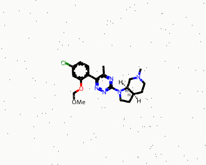 COCOc1cc(Cl)ccc1-c1nnc(N2CC[C@@H]3CCN(C)C[C@@H]32)nc1C